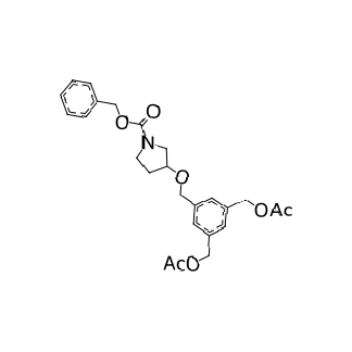 CC(=O)OCc1cc(COC(C)=O)cc(COC2CCN(C(=O)OCc3ccccc3)C2)c1